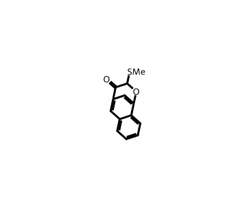 CSC1Oc2cc(cc3ccccc23)C1=O